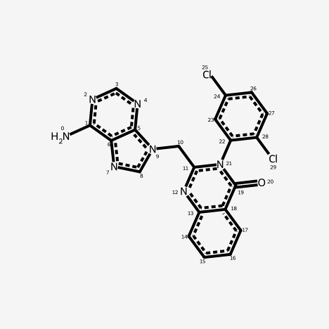 Nc1ncnc2c1ncn2Cc1nc2ccccc2c(=O)n1-c1cc(Cl)ccc1Cl